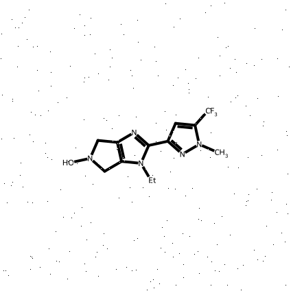 CCn1c(-c2cc(C(F)(F)F)n(C)n2)nc2c1CN(O)C2